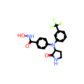 O=C(NO)c1ccc(N(c2cccc(C(F)(F)F)c2)C2CCNC2=O)cc1